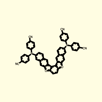 N#Cc1ccc(N(c2ccc(C#N)cc2)c2ccc3cc4c(cc3c2)oc2ccc3oc5cc6cc(N(c7ccc(C#N)cc7)c7ccc(C#N)cc7)ccc6cc5c3c24)cc1